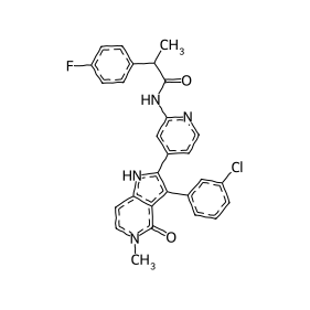 CC(C(=O)Nc1cc(-c2[nH]c3ccn(C)c(=O)c3c2-c2cccc(Cl)c2)ccn1)c1ccc(F)cc1